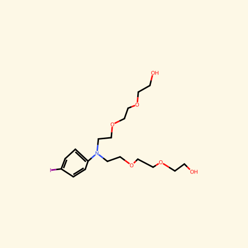 OCCOCCOCCN(CCOCCOCCO)c1ccc(I)cc1